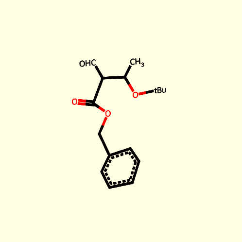 CC(OC(C)(C)C)C(C=O)C(=O)OCc1ccccc1